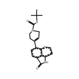 CC(C)(C)OC(=O)N1CC=C(c2ccc3c4c(ccnc24)NC3=O)CC1